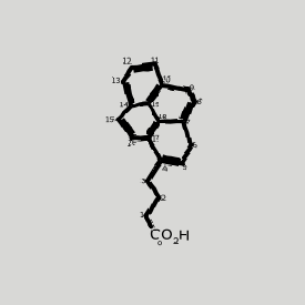 O=C(O)CCCC1=CCC2=CCc3cccc4ccc1c2c34